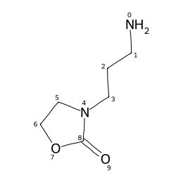 NCCCN1CCOC1=O